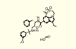 CCc1cn2c3c(cc(C(=O)N[C@@H](Cc4ccccc4)[C@H](O)CNC(C)(C)c4cccc(OC)c4)cc13)N(C)S(=O)(=O)CC2.O=CO